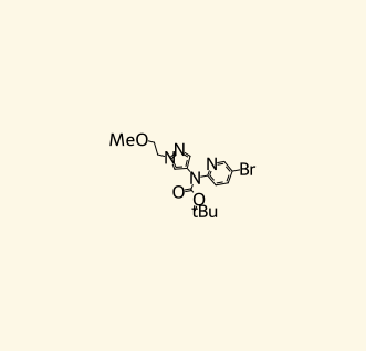 COCCn1cc(N(C(=O)OC(C)(C)C)c2ccc(Br)cn2)cn1